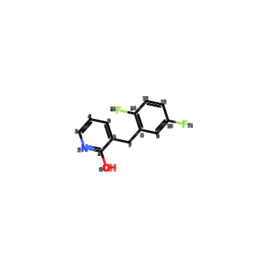 Oc1ncccc1Cc1cc(F)ccc1F